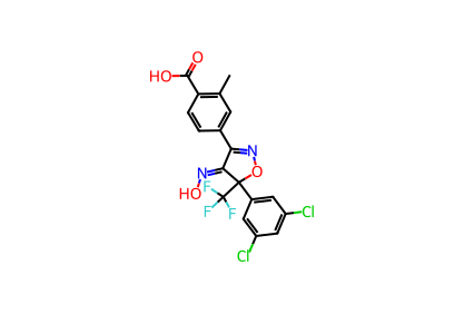 Cc1cc(C2=NOC(c3cc(Cl)cc(Cl)c3)(C(F)(F)F)C2=NO)ccc1C(=O)O